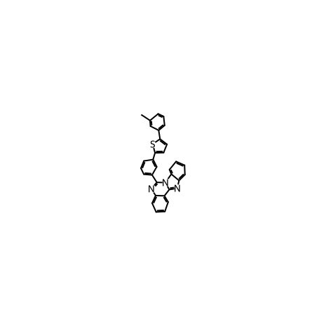 Cc1cccc(-c2ccc(-c3cccc(-c4nc5ccccc5c5nc6ccccc6n45)c3)s2)c1